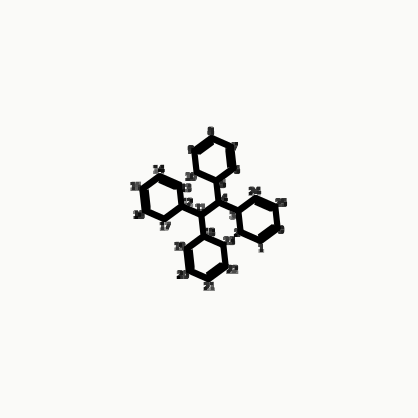 C1=CCC(C(C2C=CC=CC2)C(C2C=CC=CC2)C2C=CC=CC2)C=C1